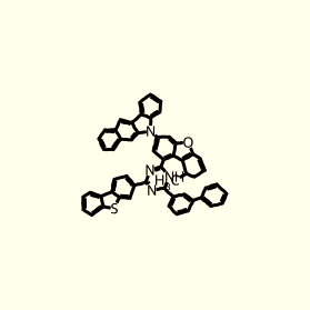 CC1CC=Cc2oc3cc(-n4c5ccccc5c5cc6ccccc6cc54)cc(C4=NC(c5ccc6c(c5)sc5ccccc56)=NC(c5cccc(-c6ccccc6)c5)N4)c3c21